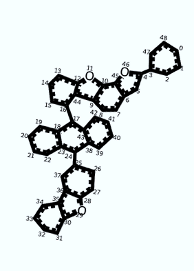 c1ccc(-c2cc3ccc4c(oc5cccc(-c6c7ccccc7c(-c7ccc8oc9ccccc9c8c7)c7ccccc67)c54)c3o2)cc1